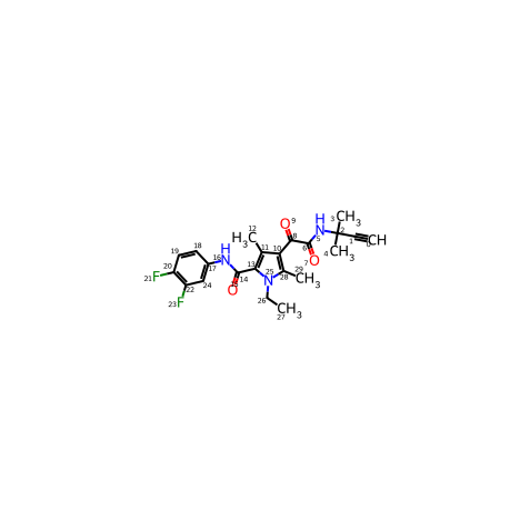 C#CC(C)(C)NC(=O)C(=O)c1c(C)c(C(=O)Nc2ccc(F)c(F)c2)n(CC)c1C